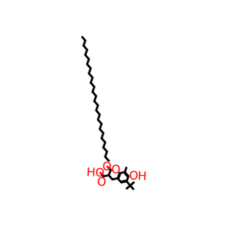 CCCCCCCCCCCCCCCCCCCCCCCCCCCCOC(=O)C(Cc1cc(C)c(O)c(C(C)(C)C)c1)C(=O)O